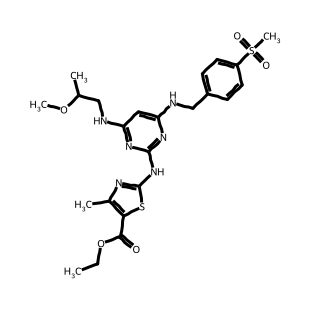 CCOC(=O)c1sc(Nc2nc(NCc3ccc(S(C)(=O)=O)cc3)cc(NCC(C)OC)n2)nc1C